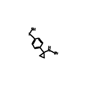 CC(C)NC1(c2ccc(SS)cc2)CC1